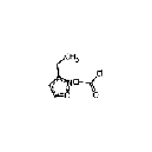 CCc1ccon1.O=C(Cl)Cl